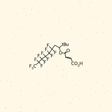 CC(C)(C)C(CC(F)(F)C(F)(F)C(F)(F)C(F)(F)C(F)(F)C(F)(F)F)OC(=O)C=CC(=O)O